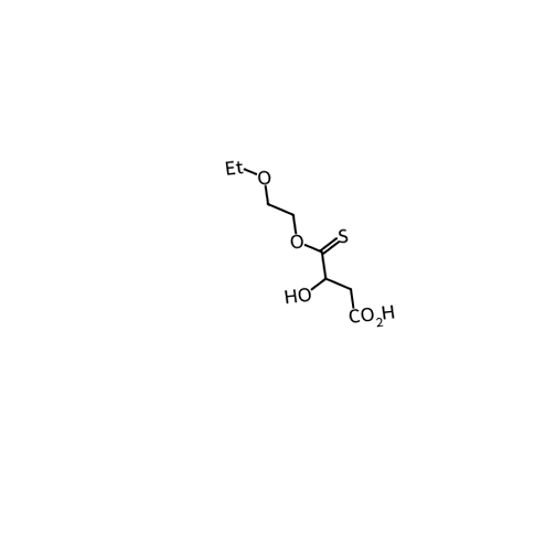 CCOCCOC(=S)C(O)CC(=O)O